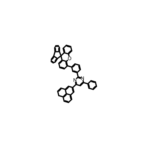 C1=Cc2cc(-c3cc(-c4ccccc4)nc(-c4cccc(-c5cccc6c5Oc5ccccc5C65c6ccccc6-c6ccccc65)c4)n3)cc3cccc(c23)C1